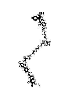 CCCCc1nc2c(N)nc3ccccc3c2n1CC(C)(C)CNC(=O)OCCSSC[C@H](NC(=O)CCOCCOCCOCCNC(=O)CC[C@H](NC(=O)c1ccc(NCc2cnc3nc(N)[nH]c(=O)c3n2)cc1)C(=O)O)C(=O)O